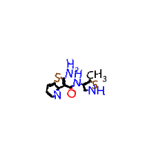 CC1=C(NC(=O)c2c(N)sc3cccnc23)CNS1